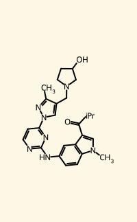 Cc1nn(-c2ccnc(Nc3ccc4c(c3)c(C(=O)C(C)C)cn4C)n2)cc1CN1CCC(O)C1